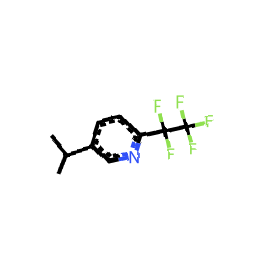 CC(C)c1ccc(C(F)(F)C(F)(F)F)nc1